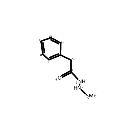 CSNNC(=O)Cc1ccccc1